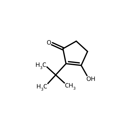 CC(C)(C)C1=C(O)CCC1=O